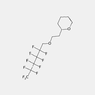 FC(F)(F)C(F)(F)C(F)(F)C(F)(F)C(F)(F)COCCC1CCCCO1